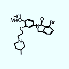 COc1ccc(N2Cc3cccc(Br)c3C2=O)cc1OCCN1CCC(C)CC1.Cl